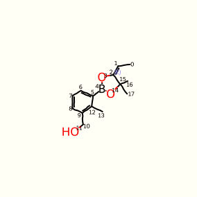 C/C=C1/OB(c2cccc(CO)c2C)OC1(C)C